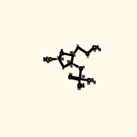 COC[C@H]1O[C@@H](C)C[C@H]1OP(C)(=O)O